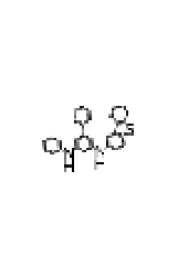 c1ccc(Nc2cc(Nc3ccc4sc5ccccc5c4c3)cc(-c3ccccc3)c2)cc1